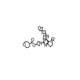 O=C(OC1CN(c2nc3c(c(NC4CC5(COC5)C4)n2)[S+]([O-])CC3)C1)C1CCOCC1